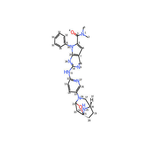 CN(C)C(=O)c1cc2cnc(Nc3ccc(N4C[C@@H]5CC[C@@]6(CC4O6)N5)cn3)nc2n1-c1ccccc1